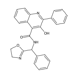 O=C(NC(C1=NCCO1)c1ccccc1)c1c(O)c(-c2ccccc2)nc2ccccc12